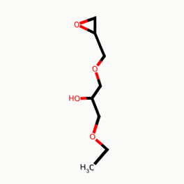 CCOCC(O)COCC1CO1